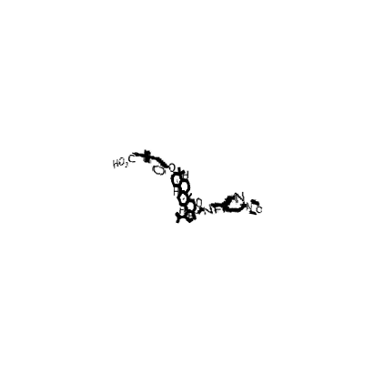 C=C(C)C1CC[C@]2(CC(=O)NCc3ccc(N4CCOCC4)nc3)CC[C@]3(C)[C@H](CC[C@@H]4[C@@]5(C)CC[C@H](OC(=O)CC(C)(C)CC(=O)O)C(C)(C)[C@@H]5CC[C@]43C)[C@@H]12